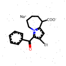 CCc1cc2n(c1C(=O)c1ccccc1)CCCCC2C(=O)[O-].[Na+]